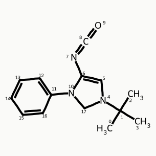 CC(C)(C)N1C=C(N=C=O)N(c2ccccc2)C1